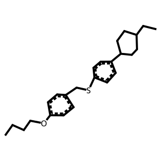 CCCCOc1ccc(CSc2ccc(C3CCC(CC)CC3)cc2)cc1